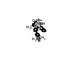 CCCCN(CCCC)C(=O)c1cc(C)n(-c2ccc(-c3ccc([SH](C)(C)=O)cc3)cc2C(=O)N2Cc3ccccc3C[C@H]2CO)n1